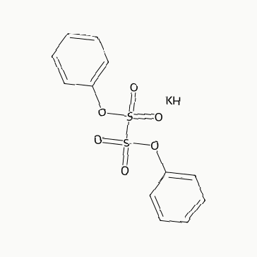 O=S(=O)(Oc1ccccc1)S(=O)(=O)Oc1ccccc1.[KH]